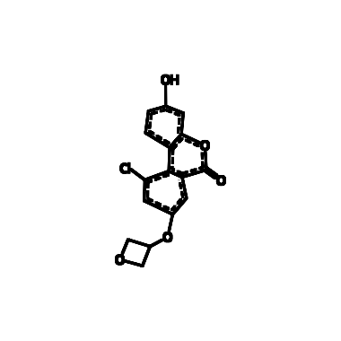 O=c1oc2cc(O)ccc2c2c(Cl)cc(OC3COC3)cc12